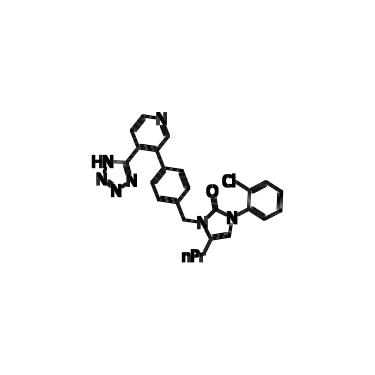 CCCc1cn(-c2ccccc2Cl)c(=O)n1Cc1ccc(-c2cnccc2-c2nnn[nH]2)cc1